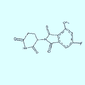 Cc1cc(F)cc2c1C(=O)N(C1CCC(=O)NC1=O)C2=O